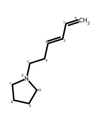 C=CC=CCCN1CCCC1